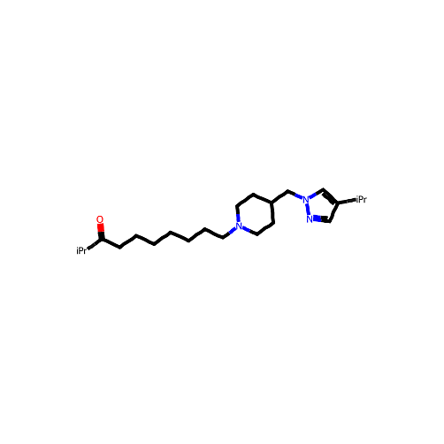 CC(C)C(=O)CCCCCCCN1CCC(Cn2cc(C(C)C)cn2)CC1